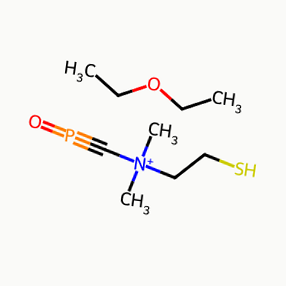 CCOCC.C[N+](C)(C#P=O)CCS